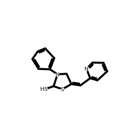 SC1SC(=Cc2ccccn2)CN1c1ccccc1